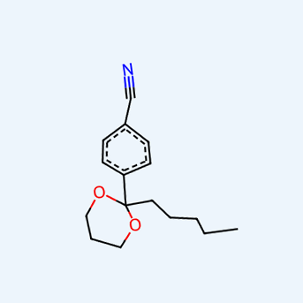 CCCCCC1(c2ccc(C#N)cc2)OCCCO1